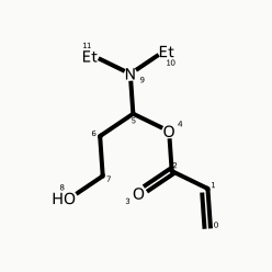 C=CC(=O)OC(CCO)N(CC)CC